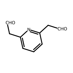 O=CCc1cccc(CC=O)n1